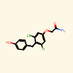 NC(=O)COc1cc(Cl)c(Cc2ccc(O)cc2)c(Cl)c1